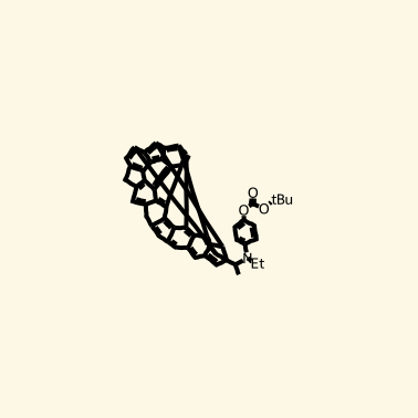 CCN(c1ccc(OC(=O)OC(C)(C)C)cc1)C(C)C12C=c3cc4cc5cc6c7c5c5c4c4c3C1c1c3c(cc8c9c%10c(cc(c%11c%10c%10c(c1c4c5c%10c7%11)c39)C6)C8)C2